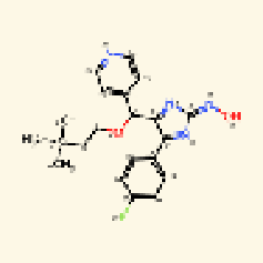 C[Si](C)(C)CCOC(C1=NC(=NO)N=C1c1ccc(F)cc1)c1ccncc1